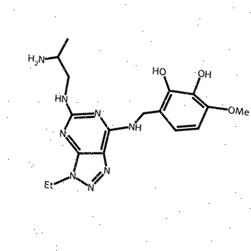 CCn1nnc2c(NCc3ccc(OC)c(O)c3O)nc(NCC(C)N)nc21